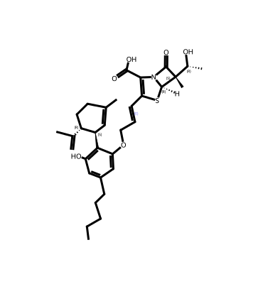 C=C(C)[C@@H]1CCC(C)=C[C@H]1c1c(O)cc(CCCCC)cc1OC/C=C/C1=C(C(=O)O)N2C(=O)[C@](C)([C@@H](C)O)[C@H]2S1